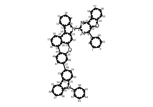 c1ccc(-c2nc(-n3c4ccccc4c4c5cccc6c5c(cc43)Oc3cc(-c4ccc5c(c4)c4ccccc4n5-c4ccccc4)ccc3-6)nc3c2oc2ccccc23)cc1